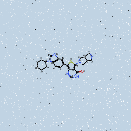 O=c1[nH]cnc2c(-c3ccc4c(c3)ncn4C3CCCCC3)sc(N3CC4CNCC4C3)c12